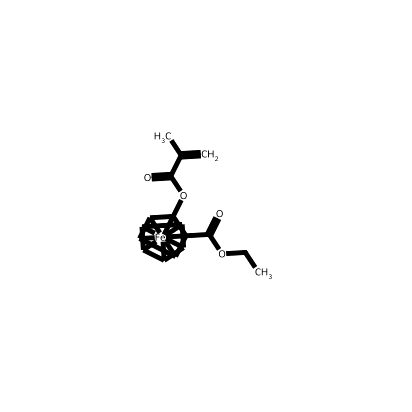 C=C(C)C(=O)O[C]12[CH]3[CH]4[CH]5[C]1(C(=O)OCC)[Fe]43521678[CH]2[CH]1[CH]6[CH]7[CH]28